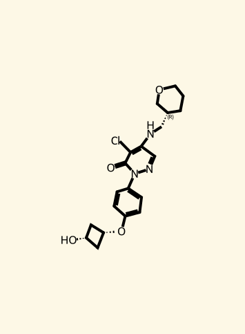 O=c1c(Cl)c(NC[C@H]2CCCOC2)cnn1-c1ccc(O[C@H]2C[C@@H](O)C2)cc1